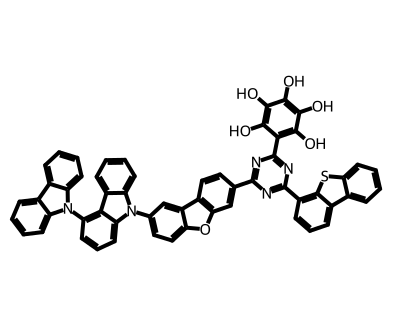 Oc1c(O)c(O)c(-c2nc(-c3ccc4c(c3)oc3ccc(-n5c6ccccc6c6c(-n7c8ccccc8c8ccccc87)cccc65)cc34)nc(-c3cccc4c3sc3ccccc34)n2)c(O)c1O